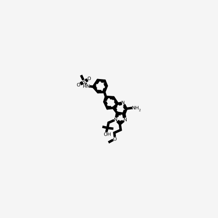 COCCc1nc2c(N)nc3cc(-c4cccc(NS(C)(=O)=O)c4)ccc3c2n1CC(C)(C)O